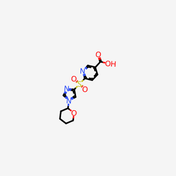 O=C(O)c1ccc(S(=O)(=O)c2cn(C3CCCCO3)cn2)nc1